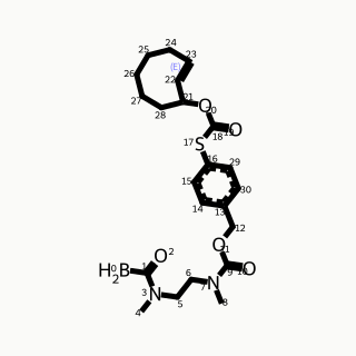 BC(=O)N(C)CCN(C)C(=O)OCc1ccc(SC(=O)OC2/C=C/CCCCC2)cc1